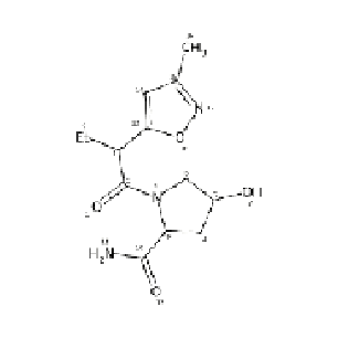 CCC(C(=O)N1CC(O)CC1C(N)=O)c1cc(C)no1